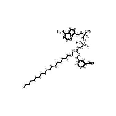 CCCCCCCCCCCCCCCCCCOC[C@H](COP(=O)(O)OC[C@](C)(CCc1ccc2c(N)ncnn12)OC)OCc1cncc(C#N)c1